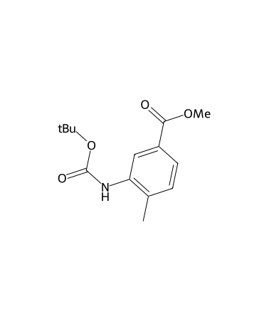 COC(=O)c1ccc(C)c(NC(=O)OC(C)(C)C)c1